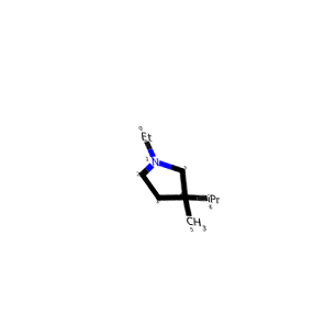 CCN1CCC(C)(C(C)C)C1